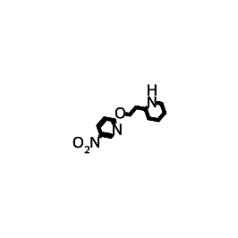 O=[N+]([O-])c1ccc(OCCC2CCCCN2)nc1